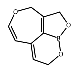 C1=CC2=CCOB3OCC(=C32)CO1